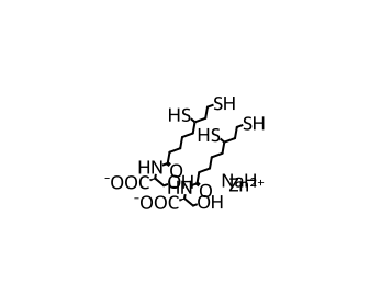 O=C(CCCCC(S)CCS)N[C@@H](CO)C(=O)[O-].O=C(CCCCC(S)CCS)N[C@@H](CO)C(=O)[O-].[NaH].[Zn+2]